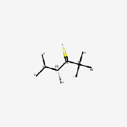 CC(C)[C@@H](C)C(=S)C(C)(C)C